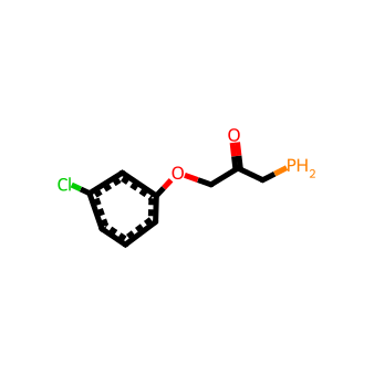 O=C(CP)COc1cccc(Cl)c1